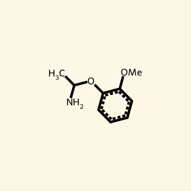 COc1ccccc1OC(C)N